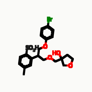 Cc1ccc(S(=O)(=O)O)c(C(COCC2(O)CCOC2)COc2ccc(Br)cc2)c1